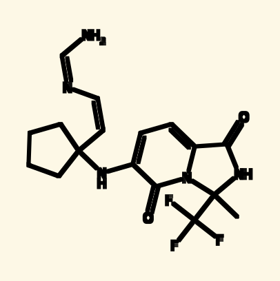 CC1(C(F)(F)F)NC(=O)c2ccc(NC3(/C=C\N=C/N)CCCC3)c(=O)n21